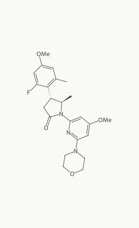 COc1cc(N2CCOCC2)nc(N2C(=O)C[C@H](c3c(C)cc(OC)cc3F)[C@H]2C)c1